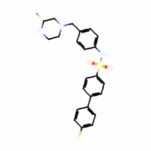 C[C@H]1CN(Cc2ccc(NS(=O)(=O)c3ccc(-c4ccc(F)cc4)cc3)cc2)CCN1